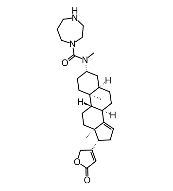 CN(C(=O)N1CCCNCC1)[C@H]1CC[C@@]2(C)[C@H](CC[C@H]3C4=CC[C@H](C5=CC(=O)OC5)[C@@]4(C)CC[C@@H]32)C1